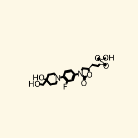 O=C1O[C@H](CCS(=O)(=O)O)CN1c1ccc(N2CCC(O)(CO)CC2)c(F)c1